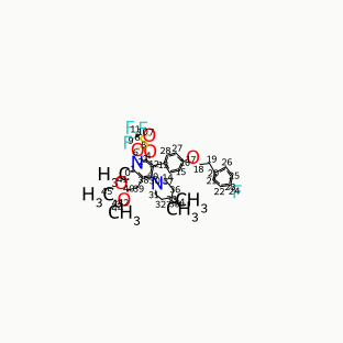 Cc1nc(OS(=O)(=O)C(F)(F)F)c(-c2ccc(OCCc3ccc(F)cc3)cc2)c(N2CCC(C)(C)CC2)c1CC(=O)OC(C)C